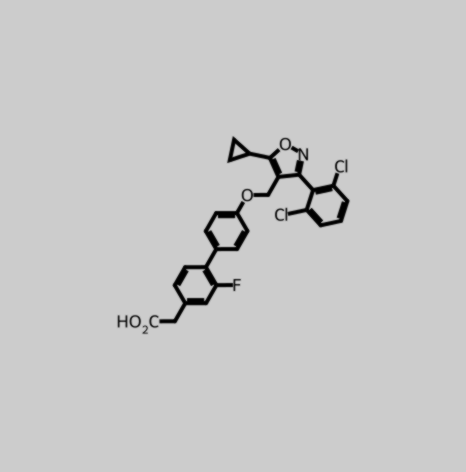 O=C(O)Cc1ccc(-c2ccc(OCc3c(-c4c(Cl)cccc4Cl)noc3C3CC3)cc2)c(F)c1